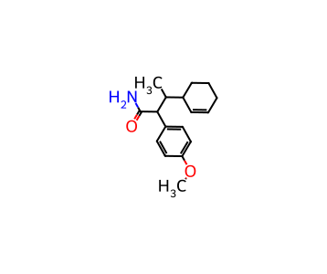 COc1ccc(C(C(N)=O)C(C)C2C=CCCC2)cc1